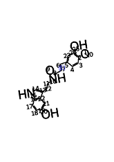 COc1ccc(/C=C/C(=O)NCCc2c[nH]c3ccc(O)cc23)cc1O